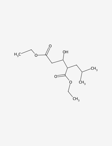 CCOC(=O)CC(O)C(CC(C)C)C(=O)OCC